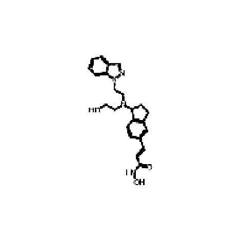 O=C(C=Cc1ccc2c(c1)CCC2N(CCO)CCn1ncc2ccccc21)NO